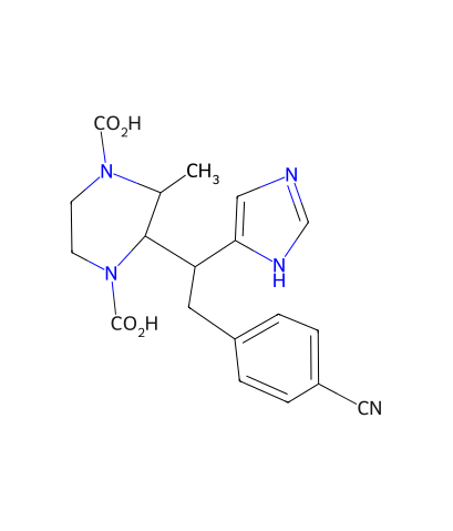 CC1C(C(Cc2ccc(C#N)cc2)c2cnc[nH]2)N(C(=O)O)CCN1C(=O)O